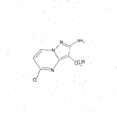 Nc1nn2ccc(Cl)nc2c1C(=O)O